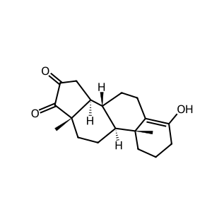 C[C@]12CCCC(O)=C1CC[C@@H]1[C@@H]2CC[C@]2(C)C(=O)C(=O)C[C@@H]12